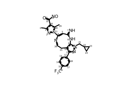 Cc1nn(C2=C/C(=N)Nc3c(c(-c4ccc(C(F)(F)F)cc4)nn3CC3CC3)C/C=N\2)c(C)c1C(=O)N=O